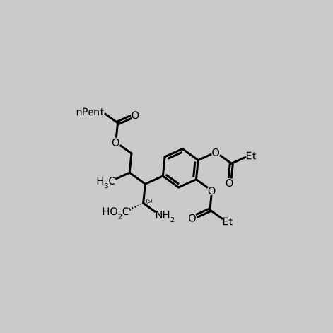 CCCCCC(=O)OCC(C)C(c1ccc(OC(=O)CC)c(OC(=O)CC)c1)[C@H](N)C(=O)O